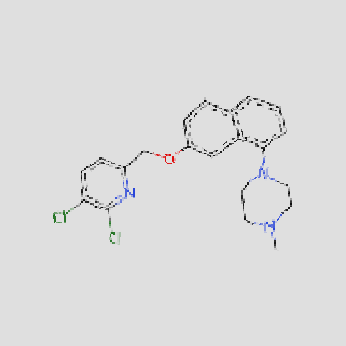 CN1CCN(c2cccc3ccc(OCc4ccc(Cl)c(Cl)n4)cc23)CC1